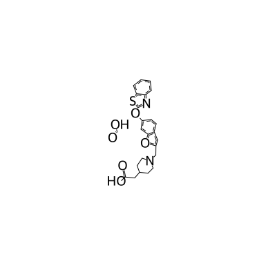 O=C(O)CC1CCN(Cc2cc3ccc(Oc4nc5ccccc5s4)cc3o2)CC1.O=CO